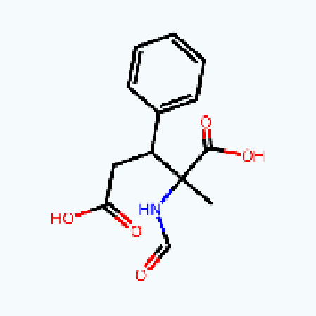 CC(NC=O)(C(=O)O)C(CC(=O)O)c1ccccc1